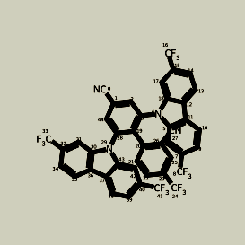 N#Cc1cc(-n2c3cc(C(F)(F)F)ccc3c3ccc(C(F)(F)F)cc32)c(-c2ccc(C(F)(F)F)cc2C#N)c(-n2c3cc(C(F)(F)F)ccc3c3ccc(C(F)(F)F)cc32)c1